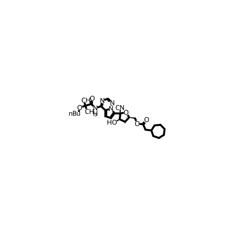 CCCCOC(C)(C)C(=O)Nc1ncnn2c([C@]3(C#N)O[C@@H](COC(=O)CC4CCCCCC4)[CH][C@H]3O)ccc12